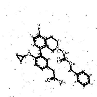 O=C(O)Cc1ccc(OC2CC2)c(-c2ccc(F)c3c2CN(OC(=O)OCc2ccccc2)CC3)c1